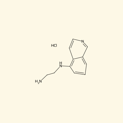 Cl.NCCNc1cccc2cnccc12